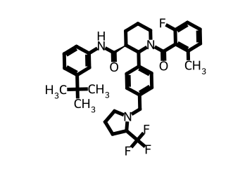 Cc1cccc(F)c1C(=O)N1CCC[C@H](C(=O)Nc2cccc(C(C)(C)C)c2)C1c1ccc(CN2CCCC2C(F)(F)F)cc1